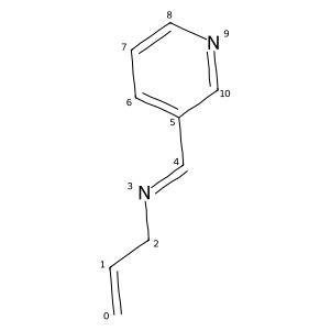 C=CC/N=C/c1cccnc1